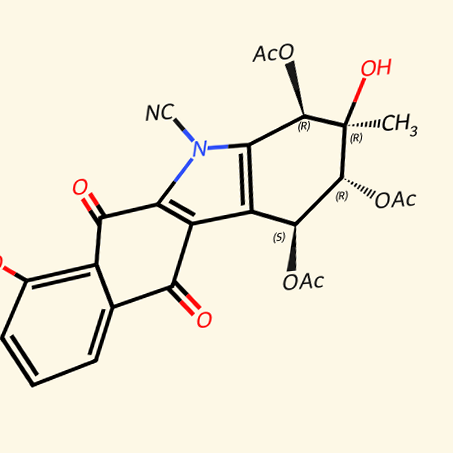 CC(=O)O[C@@H]1c2c(c3c(n2C#N)C(=O)c2c(O)cccc2C3=O)[C@H](OC(C)=O)[C@@H](OC(C)=O)[C@]1(C)O